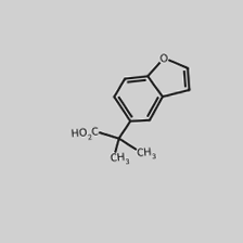 CC(C)(C(=O)O)c1ccc2occc2c1